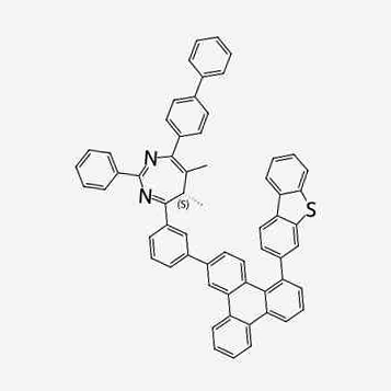 CC1=C(c2ccc(-c3ccccc3)cc2)N=C(c2ccccc2)N=C(c2cccc(-c3ccc4c(c3)c3ccccc3c3cccc(-c5ccc6c(c5)sc5ccccc56)c34)c2)[C@H]1C